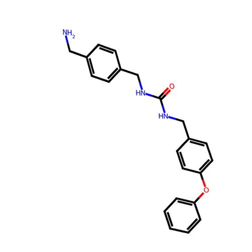 NCc1ccc(CNC(=O)NCc2ccc(Oc3ccccc3)cc2)cc1